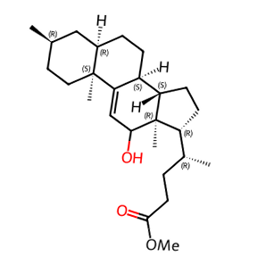 COC(=O)CC[C@@H](C)[C@H]1CC[C@H]2[C@@H]3CC[C@@H]4C[C@H](C)CC[C@]4(C)C3=CC(O)[C@]12C